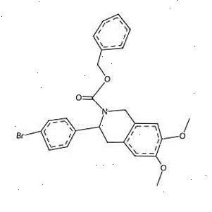 COc1cc2c(cc1OC)CN(C(=O)OCc1ccccc1)C(c1ccc(Br)cc1)C2